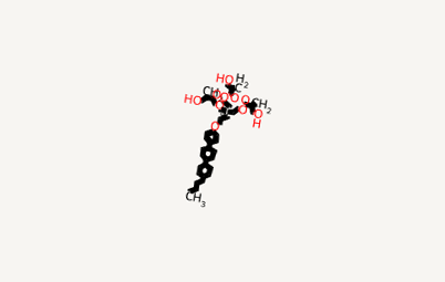 C=C(CO)C(=O)COC[Si](CCCOc1ccc(C2CCC(C3CCC(CCCCC)CC3)CC2)cc1)(CCOC(=O)C(=C)CO)CCOC(=O)C(=C)CO